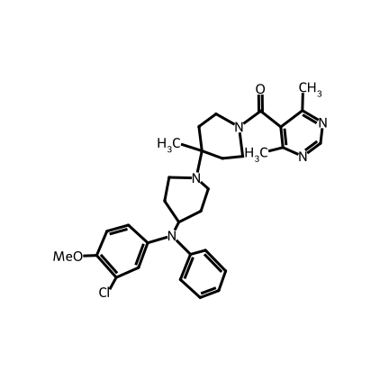 COc1ccc(N(c2ccccc2)C2CCN(C3(C)CCN(C(=O)c4c(C)ncnc4C)CC3)CC2)cc1Cl